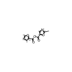 Cc1ncc(C(=O)OC(=O)c2cnco2)o1